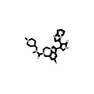 CN1CCC(CN(C)C(=O)N2CCn3cc(C4=C(c5cnc6ccccn56)C(=O)NC4)c4cc(F)cc(c43)C2)CC1